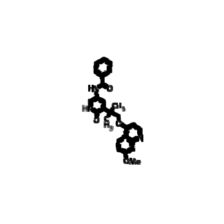 COc1ccc2c(OCC(C)(C)c3cc(NC(=O)c4ccccc4)c[nH]c3=O)ccnc2c1